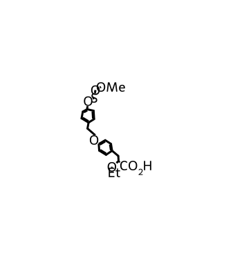 CCO[C@@H](Cc1ccc(OCCc2ccc(OSOOC)cc2)cc1)C(=O)O